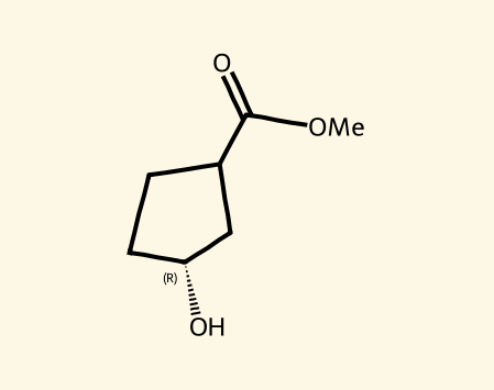 COC(=O)C1CC[C@@H](O)C1